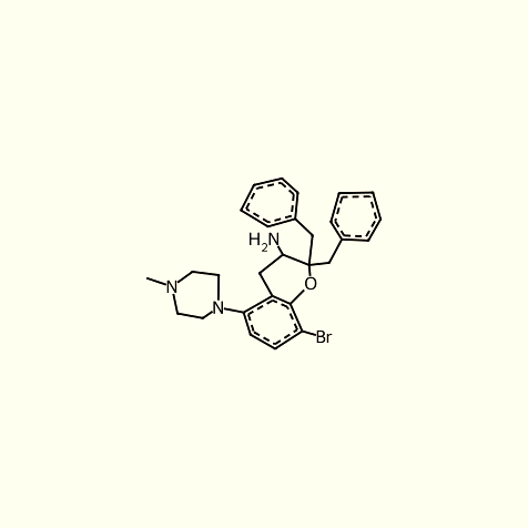 CN1CCN(c2ccc(Br)c3c2CC(N)C(Cc2ccccc2)(Cc2ccccc2)O3)CC1